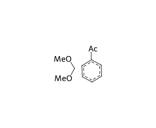 CC(=O)c1ccccc1.COCOC